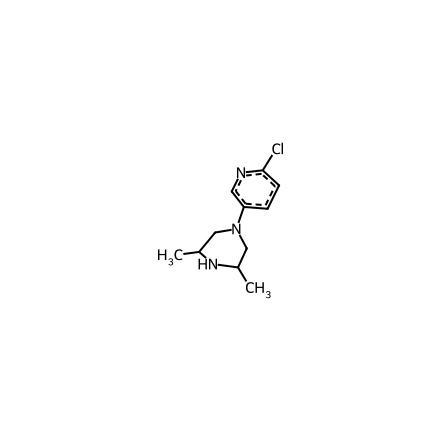 CC1CN(c2ccc(Cl)nc2)CC(C)N1